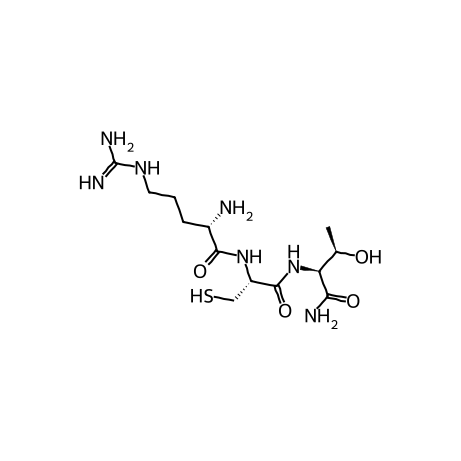 C[C@@H](O)[C@H](NC(=O)[C@H](CS)NC(=O)[C@@H](N)CCCNC(=N)N)C(N)=O